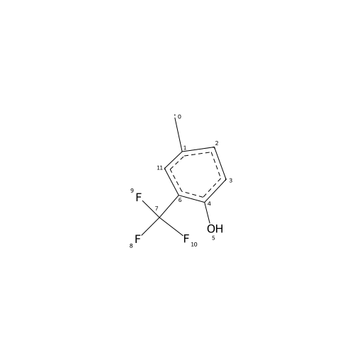 [CH2]c1ccc(O)c(C(F)(F)F)c1